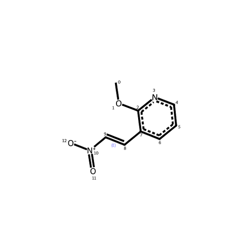 COc1ncccc1/C=C/[N+](=O)[O-]